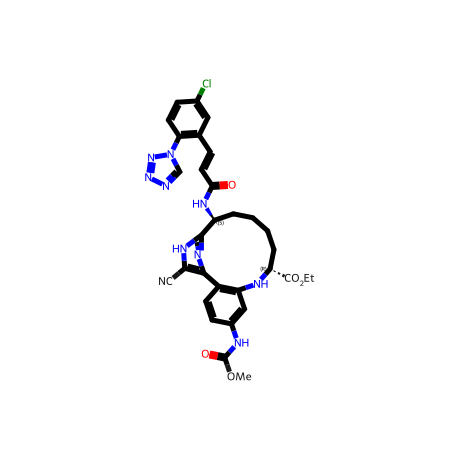 CCOC(=O)[C@H]1CCCC[C@H](NC(=O)C=Cc2cc(Cl)ccc2-n2cnnn2)c2nc(c(C#N)[nH]2)-c2ccc(NC(=O)OC)cc2N1